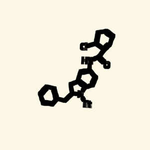 CCN1c2ccc(NC(=O)c3ccccc3Cl)cc2CC1Cc1ccccc1